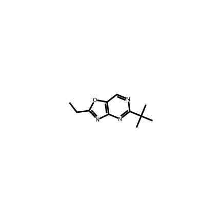 CCc1nc2nc(C(C)(C)C)ncc2o1